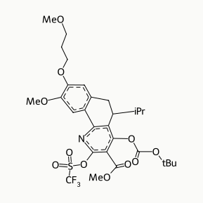 COCCCOc1cc2c(cc1OC)-c1nc(OS(=O)(=O)C(F)(F)F)c(C(=O)OC)c(OC(=O)OC(C)(C)C)c1C(C(C)C)C2